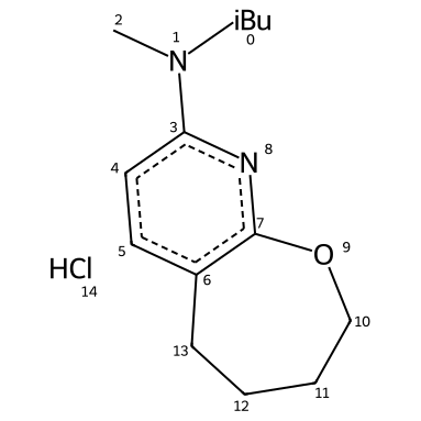 CCC(C)N(C)c1ccc2c(n1)OCCCC2.Cl